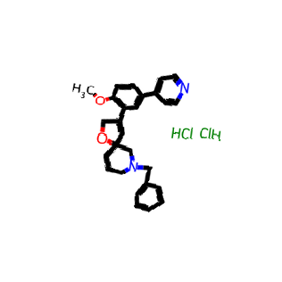 COc1ccc(-c2ccncc2)cc1C1=CC2(CCCN(Cc3ccccc3)C2)OC1.Cl.Cl